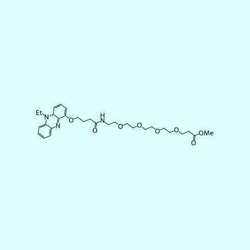 CC[n+]1c2ccccc2nc2c(OCCCC(=O)NCCOCCOCCOCCOCCC(=O)OC)cccc21